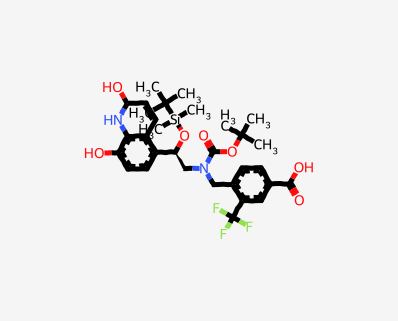 CC(C)(C)OC(=O)N(Cc1ccc(C(=O)O)cc1C(F)(F)F)C[C@H](O[Si](C)(C)C(C)(C)C)c1ccc(O)c2c1C=CC(O)N2